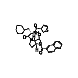 O=C(N[C@@H](CC1CCCCC1)C(=O)N1CC[C@@H]2[C@H]1C(=O)CN2C(=O)c1ccc2ccccc2c1)C1C=CSC1